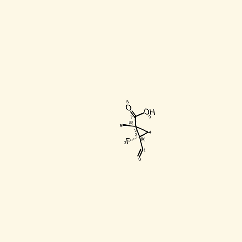 C=C[C@]1(F)C[C@@]1(C)C(=O)O